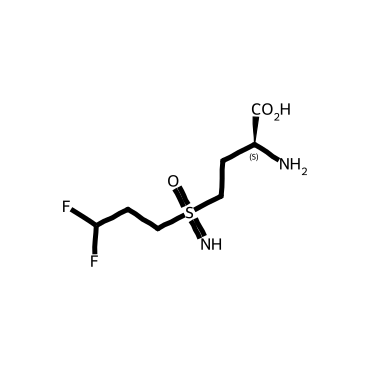 N=S(=O)(CCC(F)F)CC[C@H](N)C(=O)O